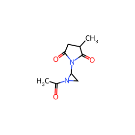 CC(=O)N1CC1N1C(=O)CC(C)C1=O